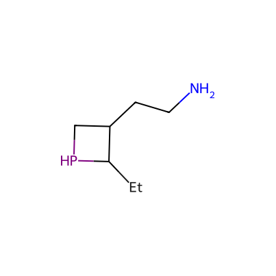 CCC1PCC1CCN